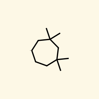 CC1(C)C[CH]CCC(C)(C)C1